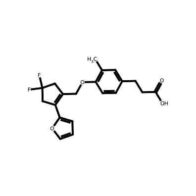 Cc1cc(CCC(=O)O)ccc1OCC1=C(c2ccco2)CC(F)(F)C1